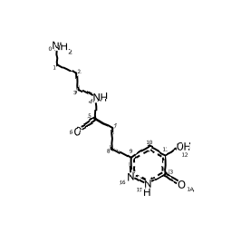 NCCCNC(=O)CCc1cc(O)c(=O)[nH]n1